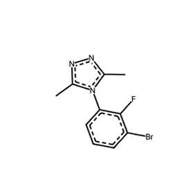 Cc1nnc(C)n1-c1cccc(Br)c1F